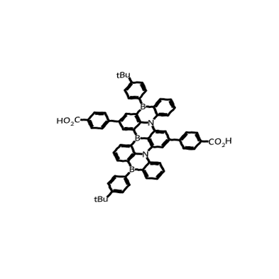 CC(C)(C)c1ccc(B2c3ccccc3N3c4cc(-c5ccc(C(=O)O)cc5)cc5c4B(c4cccc2c43)c2cc(-c3ccc(C(=O)O)cc3)cc3c2N5c2ccccc2B3c2ccc(C(C)(C)C)cc2)cc1